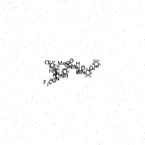 COC(=O)[C@@H](CCNC(=O)C(=O)Nc1cccc(OCc2ccccc2)c1)NC(=O)c1ccc(Nc2nc(NC3(c4ccc(Cl)cc4)CC3)nc(OCC(F)(F)F)n2)cc1